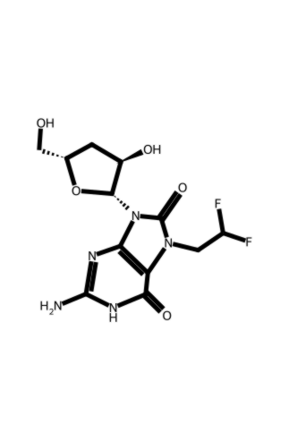 Nc1nc2c(c(=O)[nH]1)n(CC(F)F)c(=O)n2[C@@H]1O[C@H](CO)C[C@H]1O